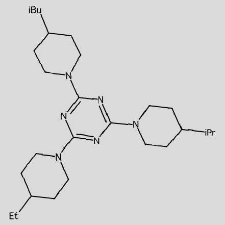 CCC1CCN(c2nc(N3CCC(C(C)C)CC3)nc(N3CCC(C(C)CC)CC3)n2)CC1